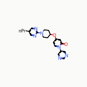 CCCc1cnc(N2CCC(Oc3ccn(-c4cncnc4)c(=O)c3)CC2)nc1